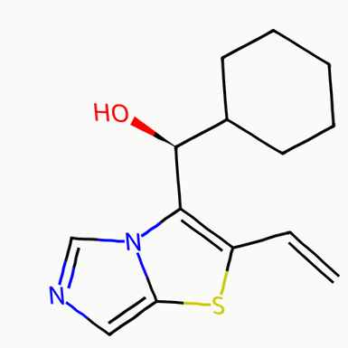 C=Cc1sc2cncn2c1[C@@H](O)C1CCCCC1